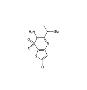 CC(C1=Nc2cc(Cl)sc2S(=O)(=O)N1N)C(C)(C)C